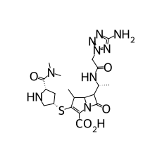 CC1C(S[C@@H]2CN[C@H](C(=O)N(C)C)C2)=C(C(=O)O)N2C(=O)C([C@@H](C)NC(=O)Cn3nnc(N)n3)C12